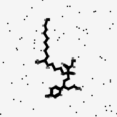 CCCC(CCP(=O)(OCCCOC(C)CCCCCCCCS)C(=O)OO)c1ccc(Cl)cc1